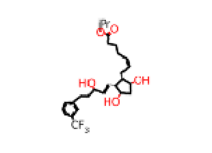 CC(C)OC(=O)CCC/C=C\C[C@@H]1[C@@H](/C=C/C(O)CCc2cccc(C(F)(F)F)c2)[C@H](O)C[C@@H]1O